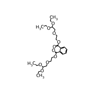 CCOC(COCCOC(=O)c1ccccc1C(=O)OCCOCC(OCC)OCC)OCC